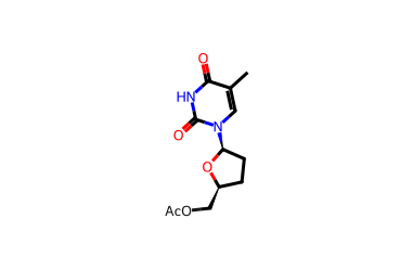 CC(=O)OC[C@@H]1CC[C@H](n2cc(C)c(=O)[nH]c2=O)O1